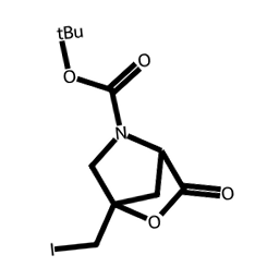 CC(C)(C)OC(=O)N1CC2(CI)CC1C(=O)O2